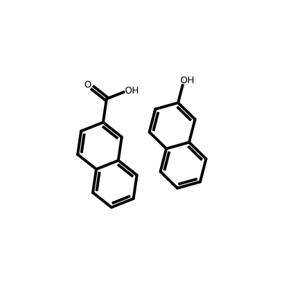 O=C(O)c1ccc2ccccc2c1.Oc1ccc2ccccc2c1